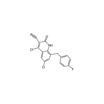 N#Cc1c(Cl)c2cc(Cl)cc(Cc3ccc(F)cc3)c2[nH]c1=O